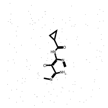 C=N/C(NC(=O)C1CC1)=C(Cl)\C(N)=N/C